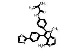 C=C(C)C(=O)Nc1ccc(-c2c(-c3ccc(-c4nccs4)cc3)c3c(N)ncnc3n2C)cc1